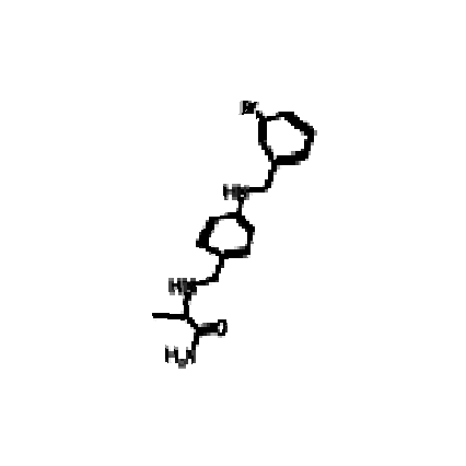 CC(NCc1ccc(NCc2cccc(Br)c2)cc1)C(N)=O